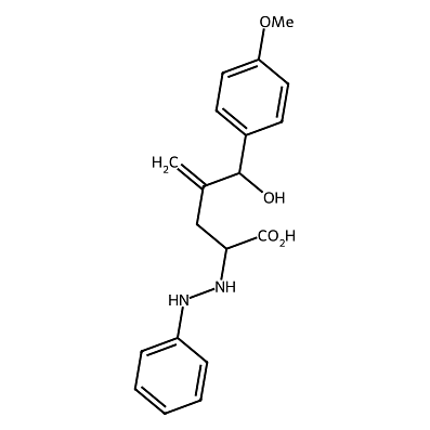 C=C(CC(NNc1ccccc1)C(=O)O)C(O)c1ccc(OC)cc1